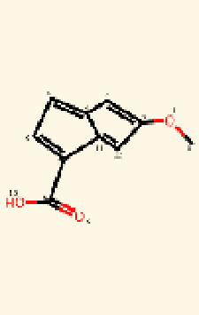 COC1=CC2=CC=C(C(=O)O)C2=C1